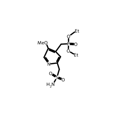 CCOP(=O)(Cc1cc(CS(N)(=O)=O)ncc1OC)OCC